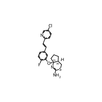 NC1=N[C@]2(Oc3cc(C=Cc4ccc(Cl)cn4)ccc3F)CCC[C@H]2CS1